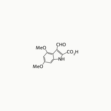 COc1cc(OC)c2c(C=O)c(C(=O)O)[nH]c2c1